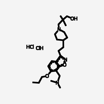 CCCOc1ccc2c(CCC3CCN(CC(C)(C)CO)CC3)noc2c1CN(C)C.Cl.Cl